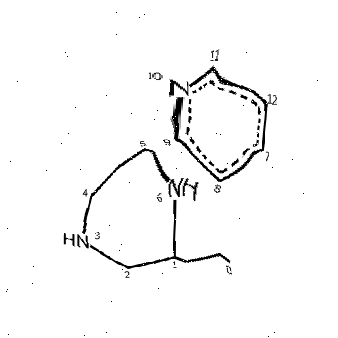 CC1CNCCN1.c1ccncc1